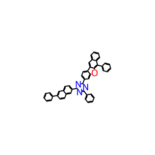 c1ccc(-c2ccc3cc(-c4nc(-c5ccccc5)nc(-c5ccc6c(c5)oc5c(-c7ccccc7)c7ccccc7cc56)n4)ccc3c2)cc1